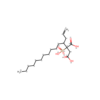 C=CCC(CCCCCCCCCCC)C(CC(=O)O)(C(=O)O)S(=O)(=O)O